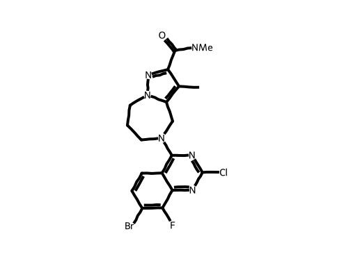 CNC(=O)c1nn2c(c1C)CN(c1nc(Cl)nc3c(F)c(Br)ccc13)CCC2